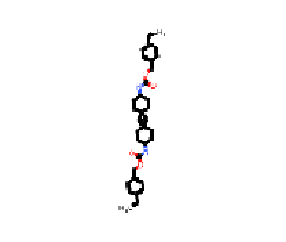 C=Cc1ccc(COC(=O)NC2CCC3(CC2)C2C3C23CCC(NC(=O)OCc2ccc(C=C)cc2)CC3)cc1